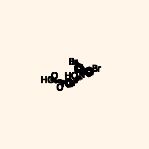 O=C(O)CCC(=O)N1CCN(C[C@@H](O)Cn2c3ccc(Br)cc3c3cc(Br)ccc32)CC1